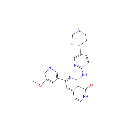 COc1cncc(-c2cc3cc[nH]c(=O)c3c(Nc3ccc(C4CCN(C)CC4)cn3)n2)c1